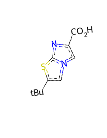 CC(C)(C)c1cn2cc(C(=O)O)nc2s1